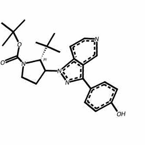 CC(C)(C)OC(=O)N1CCC(n2nc(-c3ccc(O)cc3)c3cnccc32)[C@H]1C(C)(C)C